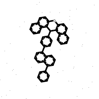 c1ccc(-c2cccc3c(-c4ccc(C5c6c(ccc7ccccc67)Oc6ccc7ccccc7c65)cc4)cccc23)cc1